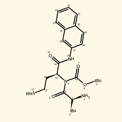 CC[C@H](C)[C@H](N)C(=O)N(C(=O)OC(C)(C)C)[C@@H](CCSC)C(=O)Nc1ccc2ccccc2c1